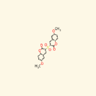 COc1ccc2oc(=O)c(S(=O)(=O)c3cc4cc(OC)ccc4oc3=O)cc2c1